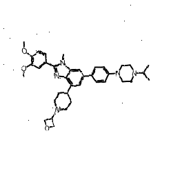 COc1ccc(-c2nc3c(C4CCN(C5COC5)CC4)cc(-c4ccc(N5CCN(C(C)C)CC5)cc4)cc3n2C)cc1OC